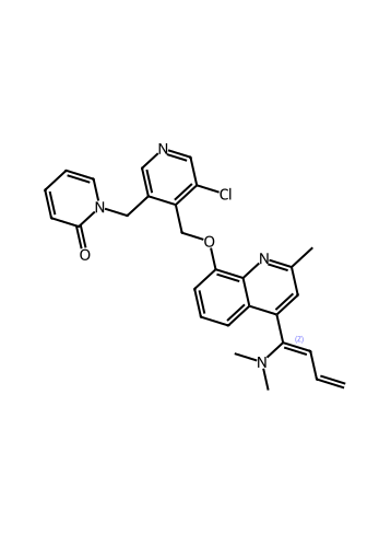 C=C/C=C(/c1cc(C)nc2c(OCc3c(Cl)cncc3Cn3ccccc3=O)cccc12)N(C)C